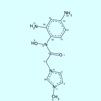 C[n+]1ccn(CC(=O)N(O)c2ccc(N)cc2N)c1